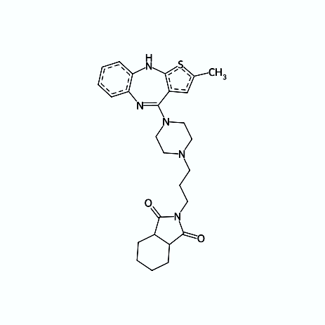 Cc1cc2c(s1)Nc1ccccc1N=C2N1CCN(CCCN2C(=O)C3CCCCC3C2=O)CC1